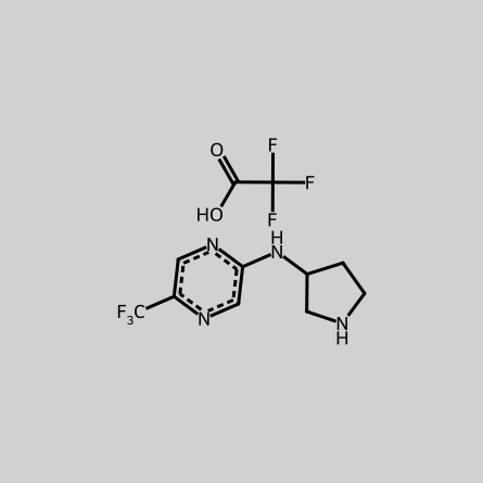 FC(F)(F)c1cnc(NC2CCNC2)cn1.O=C(O)C(F)(F)F